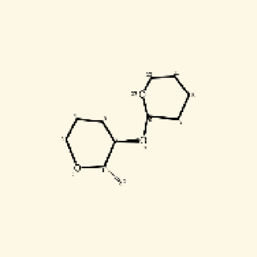 [CH2][C@@H]1OCCC[C@H]1OC1CCCCO1